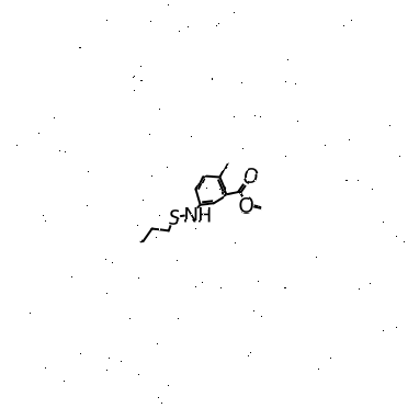 CCCSNc1ccc(C)c(C(=O)OC)c1